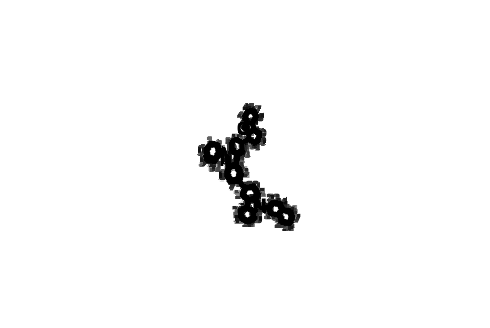 c1ccc(-n2c3ccc(-c4ccc5c(c4)c4ccccc4n5-c4ccc5ccccc5c4)cc3c3cc(-c4cccc5c4oc4ccccc45)ccc32)cc1